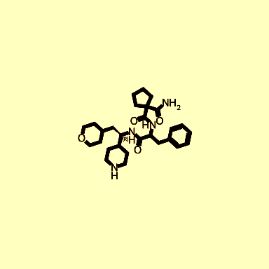 NC(=O)C1(C(=O)NC(Cc2ccccc2)C(=O)N[C@H](CC2CCOCC2)C2CCNCC2)CCCC1